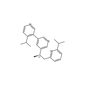 CC(C)c1cccc(C[C@@H](C)c2cncc(-c3cnccc3C(C)C)c2)n1